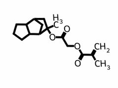 C=C(C)C(=O)OCC(=O)OC1(C)CC2CC1C1CCCC21